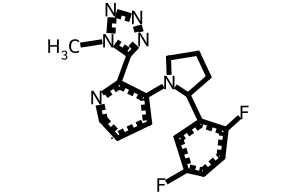 Cn1nnnc1-c1nc[c]cc1N1CCCC1c1cc(F)ccc1F